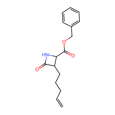 C=CCCCC1C(=O)NC1C(=O)OCc1ccccc1